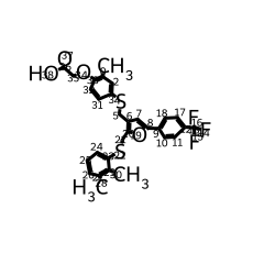 Cc1cc(SCc2cc(-c3ccc(C(F)(F)F)cc3)oc2CSc2cccc(C)c2C)ccc1OCC(=O)O